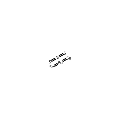 [S]=[Ni]=[S].[Se]=[Pd]=[Se]